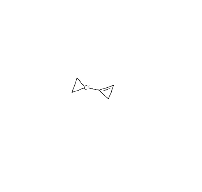 C1=C([C+]2CC2)C1